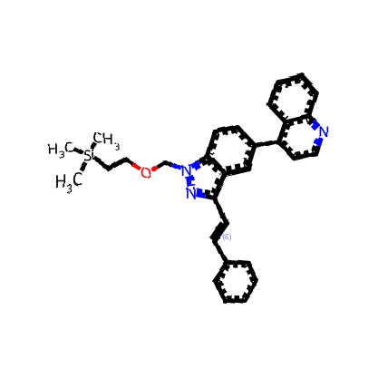 C[Si](C)(C)CCOCn1nc(/C=C/c2ccccc2)c2cc(-c3ccnc4ccccc34)ccc21